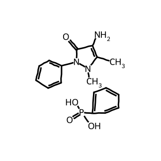 Cc1c(N)c(=O)n(-c2ccccc2)n1C.O=P(O)(O)c1ccccc1